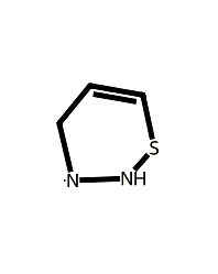 C1=CSN[N]C1